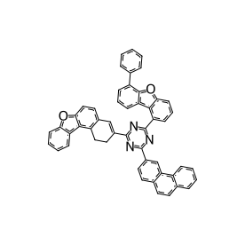 C1=C(c2nc(-c3ccc4ccc5ccccc5c4c3)nc(-c3cccc4oc5c(-c6ccccc6)cccc5c34)n2)CCc2c1ccc1oc3ccccc3c21